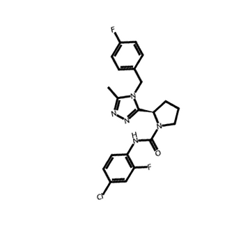 Cc1nnc([C@H]2CCCN2C(=O)Nc2ccc(Cl)cc2F)n1Cc1ccc(F)cc1